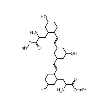 CCCOC(=O)C(N)CC1CC(O)CCC1/C=C/C1CC(O)CC(/C=C/C2CCC(O)CC2CC(N)C(=O)OCCC)C1